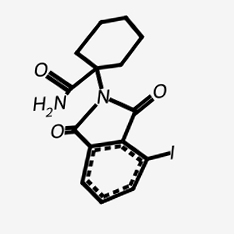 NC(=O)C1(N2C(=O)c3cccc(I)c3C2=O)CCCCC1